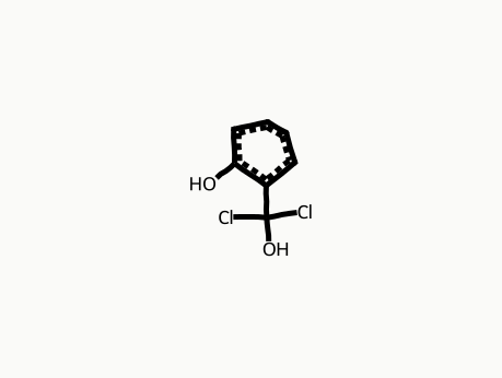 Oc1ccccc1C(O)(Cl)Cl